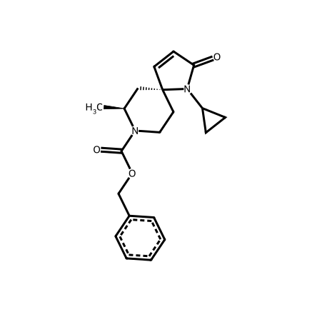 C[C@H]1C[C@@]2(C=CC(=O)N2C2CC2)CCN1C(=O)OCc1ccccc1